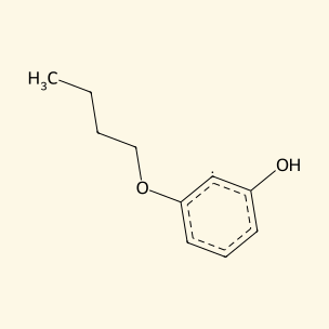 CCCCOc1[c]c(O)ccc1